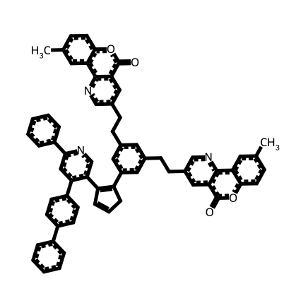 Cc1ccc2oc(=O)c3cc(CCc4cc(CCc5cnc6c(c5)c(=O)oc5ccc(C)cc56)cc(C5=C(c6cnc(-c7ccccc7)cc6-c6ccc(-c7ccccc7)cc6)C=CC5)c4)cnc3c2c1